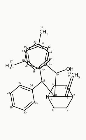 C=C1C2CCN(CC2)C1(C(O)c1cc(C)cc(C)c1)C(c1ccccc1)c1ccccc1